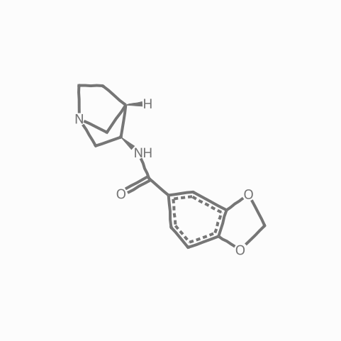 O=C(N[C@H]1CN2CC[C@H]1C2)c1ccc2c(c1)OCO2